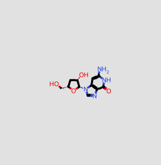 Nc1cc2c(ncn2[C@@H]2O[C@H](CO)C[C@@H]2O)c(=O)[nH]1